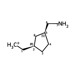 CC[C@@H]1CC[C@H](CN)C1